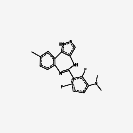 Cc1ccc2c(c1)-c1[nH]ncc1NC(c1c(F)ccc(N(C)C)c1F)=N2